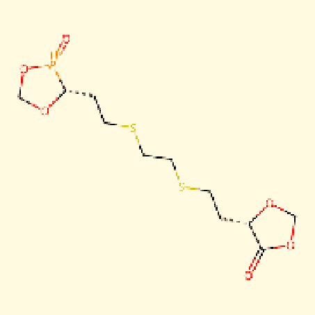 O=C1OCO[C@H]1CCSCCSCC[C@@H]1OCO[PH]1=O